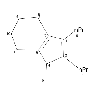 CCCC1=C(CCC)C(C)C2=C1[C]CCC2